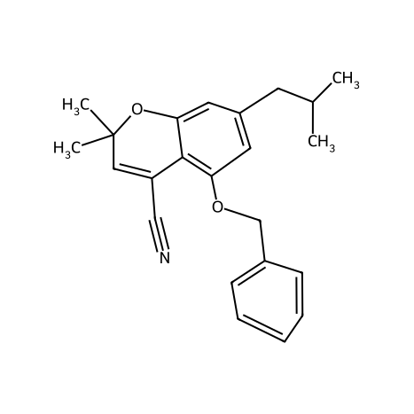 CC(C)Cc1cc(OCc2ccccc2)c2c(c1)OC(C)(C)C=C2C#N